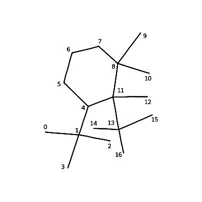 CC(C)(C)C1CCCC(C)(C)C1(C)C(C)(C)C